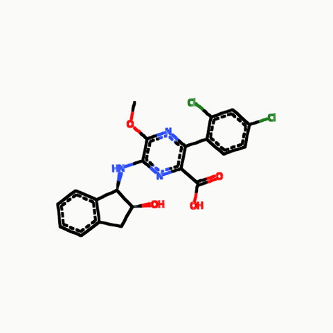 COc1nc(-c2ccc(Cl)cc2Cl)c(C(=O)O)nc1N[C@@H]1c2ccccc2C[C@@H]1O